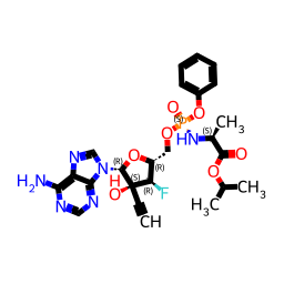 C#C[C@@]1(O)[C@H](F)[C@@H](CO[P@@](=O)(N[C@@H](C)C(=O)OC(C)C)Oc2ccccc2)O[C@H]1n1cnc2c(N)ncnc21